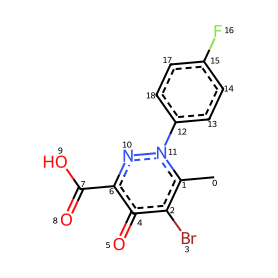 Cc1c(Br)c(=O)c(C(=O)O)nn1-c1ccc(F)cc1